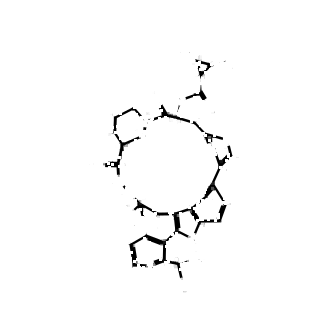 CCn1c(-c2cccnc2[C@H](C)OC)c2c3cc(ccc31)-c1csc(n1)C[C@H](NC(=O)[C@H]1[C@H](C)[C@@H]1C)C(=O)N1CCC[C@H](N1)C(=O)OCC(C)(C)C2